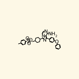 Cc1ccc(S(=O)(=O)OCC2CCC(c3nc(-c4ccc(Oc5ccccc5)cc4)c4c(N)nccn34)CC2)cc1